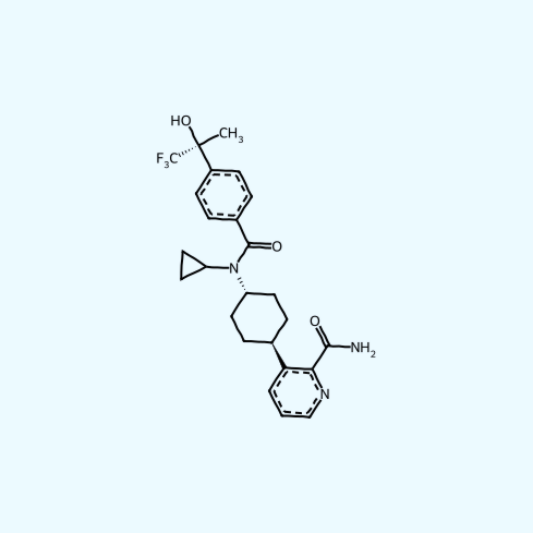 C[C@](O)(c1ccc(C(=O)N(C2CC2)[C@H]2CC[C@H](c3cccnc3C(N)=O)CC2)cc1)C(F)(F)F